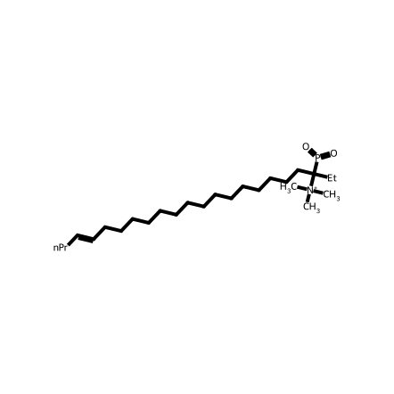 CCCC=CCCCCCCCCCCCCCCCC(CC)(P(=O)=O)[N+](C)(C)C